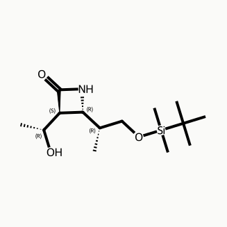 C[C@@H](O)[C@H]1C(=O)N[C@@H]1[C@@H](C)CO[Si](C)(C)C(C)(C)C